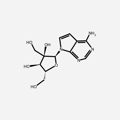 Nc1ncnc2c1ccn2[C@H]1O[C@H](CO)[C@@H](O)[C@]1(O)CO